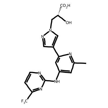 Cc1cc(Nc2nccc(C(F)(F)F)n2)cc(-c2cnn(C[C@@H](O)C(=O)O)c2)n1